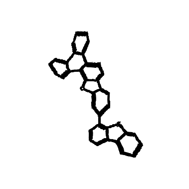 c1ccc2c(c1)sc1c(-c3ccc4c(c3)oc3c4ccc4c5ccccc5c5ccccc5c43)cccc12